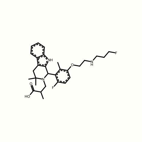 Cc1c(OCCNCCCF)ccc(F)c1C1c2[nH]c3ccccc3c2CC(C)(C)N1CC(C)C(=O)O